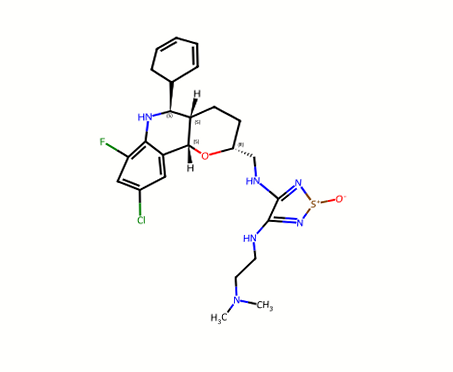 CN(C)CCNc1n[s+]([O-])nc1NC[C@H]1CC[C@@H]2[C@H](O1)c1cc(Cl)cc(F)c1N[C@H]2C1C=CC=CC1